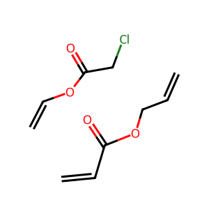 C=CCOC(=O)C=C.C=COC(=O)CCl